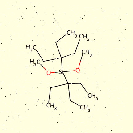 CCC(CC)(CC)[Si](OC)(OC)C(CC)(CC)CC